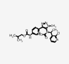 CC(C)COC(=O)Nc1ccc(-c2nnn(C)c2N(C(=O)O)C(C)c2cccnc2Cl)nc1